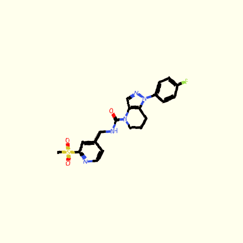 CS(=O)(=O)c1cc(CNC(=O)N2CCCc3c2cnn3-c2ccc(F)cc2)ccn1